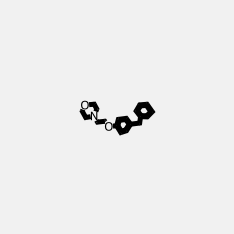 c1ccc(Cc2ccc(OCCN3CCOCC3)cc2)cc1